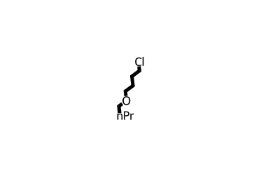 [CH2]CCCOCCCCCl